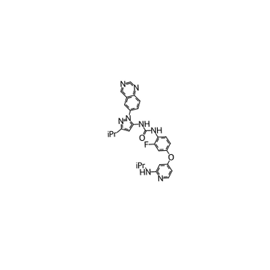 CC(C)Nc1cc(Oc2ccc(NC(=O)Nc3cc(C(C)C)nn3-c3ccc4ncncc4c3)c(F)c2)ccn1